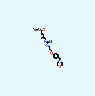 CC\C(=N/C=C(C)/C=C/C(=O)OC)NCCCOc1ccc(CN2CCOCC2)cc1